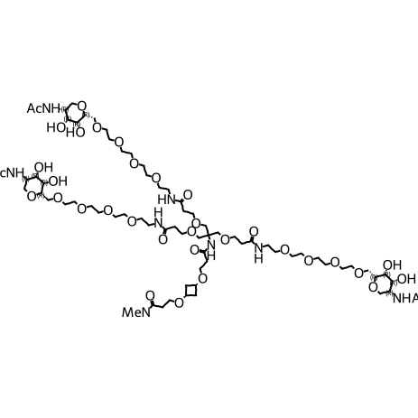 CNC(=O)CCO[C@H]1C[C@H](OCCC(=O)NC(COCCC(=O)NCCOCCOCCOCCOC[C@H]2OC[C@@H](NC(C)=O)[C@@H](O)[C@H]2O)(COCCC(=O)NCCOCCOCCOCCOC[C@H]2OC[C@@H](NC(C)=O)[C@@H](O)[C@H]2O)COCCC(=O)NCCOCCOCCOCCOC[C@H]2OC[C@@H](NC(C)=O)[C@@H](O)[C@H]2O)C1